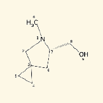 CN1CC2(CC2)C[C@H]1CO